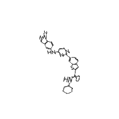 O=C(NC1CCCCC1)c1cc2ccc(-c3nccc(Nc4ccc5[nH]ncc5c4)n3)cc2s1